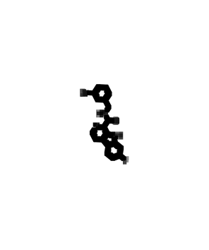 O=C(NCc1cccc(Br)c1)c1nccc2c1[nH]c1cc(F)ccc12